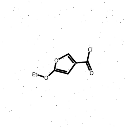 CCOc1cc(C(=O)Cl)co1